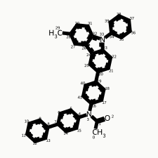 CC(=O)N(c1ccc(-c2ccccc2)cc1)c1ccc(-c2ccc3c(c2)c2cc(C)ccc2n3-c2ccccc2)cc1